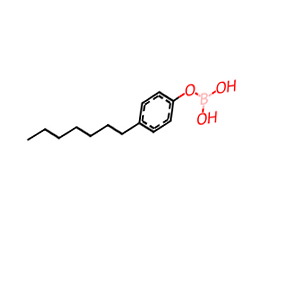 CCCCCCCc1ccc(OB(O)O)cc1